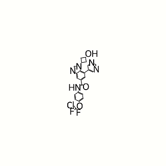 O=C(Nc1ccc(OC(F)(F)Cl)cc1)c1cc(-c2cncnc2)c2c(c1)ncn2[C@H]1C[C@H](O)C1